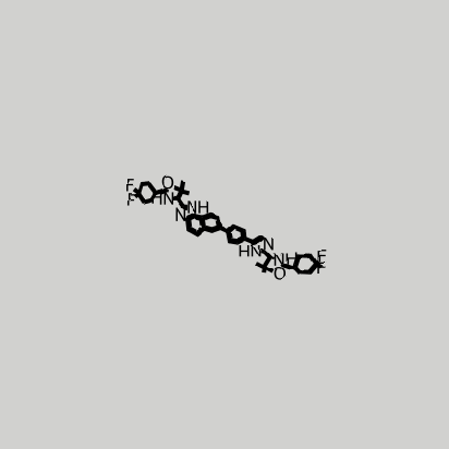 CC(C)(C)C(NC(=O)C1CCC(F)(F)CC1)c1nc2ccc3cc(-c4ccc(-c5cnc([C@@H](NC(=O)C6CCC(F)(F)CC6)C(C)(C)C)[nH]5)cc4)ccc3c2[nH]1